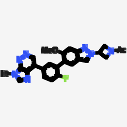 CCn1cnc2c(-c3ccc(F)c(-c4cc5cn(C6CN(C(C)=O)C6)nc5cc4OC)c3)cnnc21